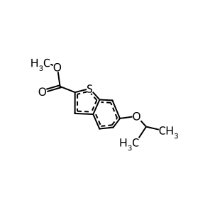 COC(=O)c1cc2ccc(OC(C)C)cc2s1